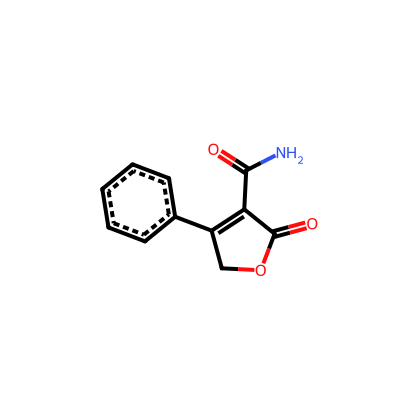 NC(=O)C1=C(c2ccccc2)COC1=O